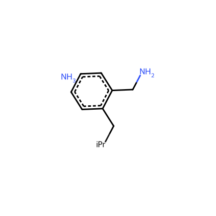 CC(C)Cc1ccccc1CN.N